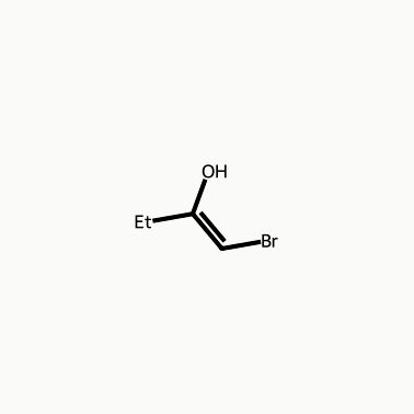 CCC(O)=CBr